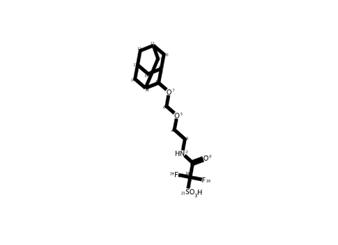 O=C(NCCOCOC1C2CC3CC(C2)CC1C3)C(F)(F)S(=O)(=O)O